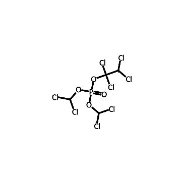 O=P(OC(Cl)Cl)(OC(Cl)Cl)OC(Cl)(Cl)[C](Cl)Cl